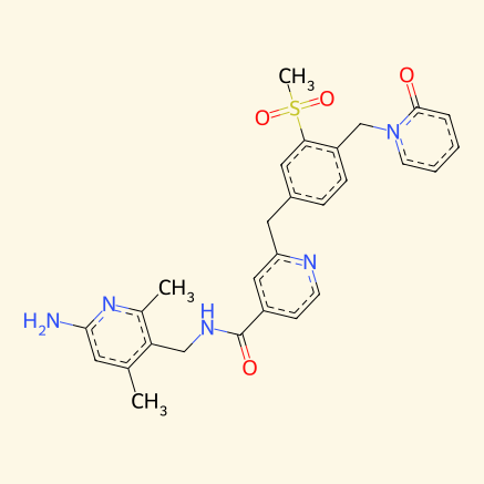 Cc1cc(N)nc(C)c1CNC(=O)c1ccnc(Cc2ccc(Cn3ccccc3=O)c(S(C)(=O)=O)c2)c1